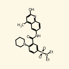 CCN(CC)S(=O)(=O)c1ccc(N2CCCCC2)c(C(=O)Nc2ccc3nc(O)cc(C)c3c2)c1